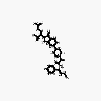 C=C(C)CCC(C(=C)C)C1Cc2cc(C3CCN(C/C(C)=N/C(=C\CC)c4ccccc4)CC3)ccc2C1=C